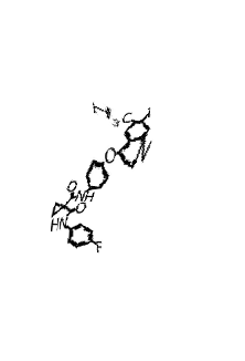 Cc1cc2c(Oc3ccc(NC(=O)C4(C(=O)Nc5ccc(F)cc5)CC4)cc3)ccnc2cc1I